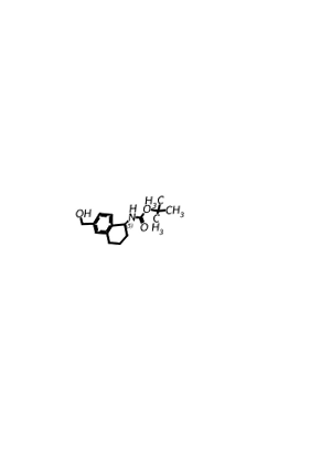 CC(C)(C)OC(=O)N[C@H]1CCCc2cc(CO)ccc21